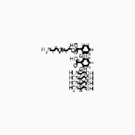 NCCO.NCCO.NCCO.NCCO.NCCO.NCCO.O=C(O)c1ccccc1O.O=C(O)c1ccccc1O